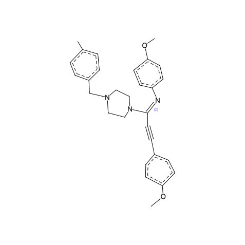 COc1ccc(C#C/C(=N/c2ccc(OC)cc2)N2CCN(Cc3ccc(C)cc3)CC2)cc1